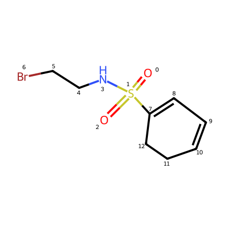 O=S(=O)(NCCBr)C1=CC=CCC1